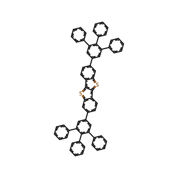 c1ccc(-c2cc(-c3ccc4c(c3)sc3c5ccc(-c6cc(-c7ccccc7)c(-c7ccccc7)c(-c7ccccc7)c6)cc5sc43)cc(-c3ccccc3)c2-c2ccccc2)cc1